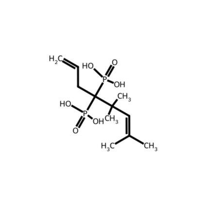 C=CCC(C(C)(C)C=C(C)C)(P(=O)(O)O)P(=O)(O)O